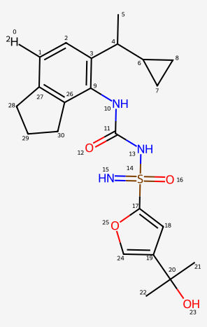 [2H]c1cc(C(C)C2CC2)c(NC(=O)NS(=N)(=O)c2cc(C(C)(C)O)co2)c2c1CCC2